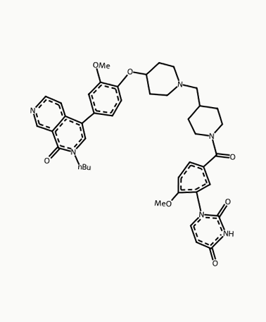 CCCCn1cc(-c2ccc(OC3CCN(CC4CCN(C(=O)c5ccc(OC)c(-n6ccc(=O)[nH]c6=O)c5)CC4)CC3)c(OC)c2)c2ccncc2c1=O